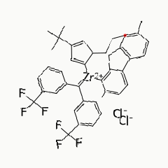 CCCC1C=C(C(C)(C)C)C=[C]1[Zr+2](=[C](c1cccc(C(F)(F)F)c1)c1cccc(C(F)(F)F)c1)[c]1c(C)ccc2c1Cc1cc(C)ccc1-2.[Cl-].[Cl-]